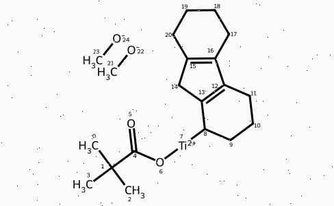 CC(C)(C)C(=O)[O][Ti+2][CH]1CCCC2=C1CC1=C2CCCC1.C[O-].C[O-]